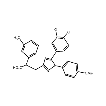 COc1ccc(-n2nc(CC(C(=O)O)c3cccc(C)c3)cc2-c2ccc(Cl)c(Cl)c2)cc1